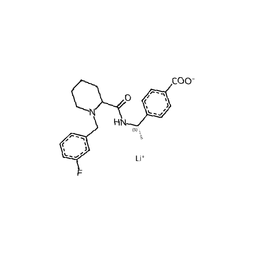 C[C@H](NC(=O)C1CCCCN1Cc1cccc(F)c1)c1ccc(C(=O)[O-])cc1.[Li+]